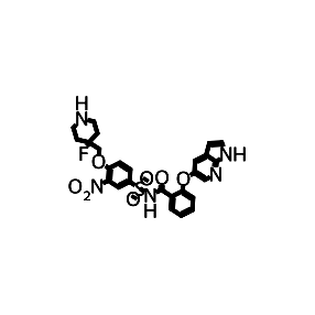 O=C(NS(=O)(=O)c1ccc(OCC2(F)CCNCC2)c([N+](=O)[O-])c1)c1ccccc1Oc1cnc2[nH]ccc2c1